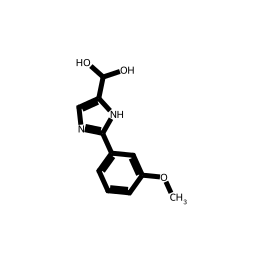 COc1cccc(-c2ncc(C(O)O)[nH]2)c1